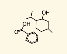 CC1CCC(C(C)C)C(O)C1.O=C(O)c1ccccc1